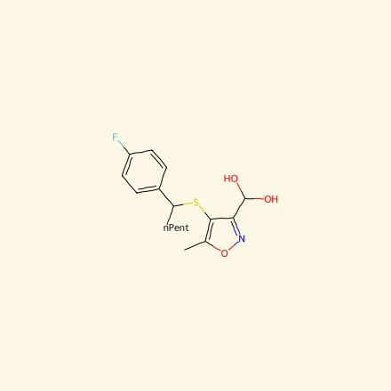 CCCCCC(Sc1c(C(O)O)noc1C)c1ccc(F)cc1